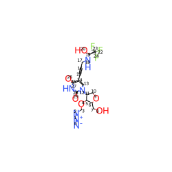 [N-]=[N+]=NCOC1C(CO)OCC1n1cc(C#CCNC(O)C(F)(F)F)c(=O)[nH]c1=O